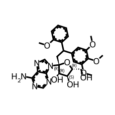 COc1ccccc1C(C[C@@]1(n2cnc3c(N)ncnc32)O[C@H](CO)[C@@H](O)[C@H]1O)c1cc(OC)c(OC)c(OC)c1